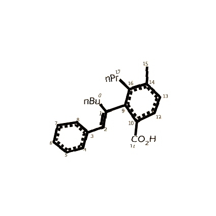 CCCCC(=Cc1ccccc1)c1c(C(=O)O)ccc(C)c1CCC